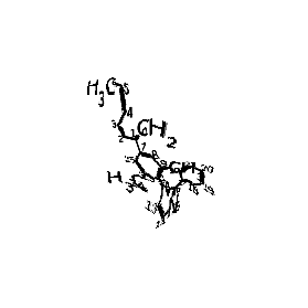 C=C(/C=C\C=C/C)c1cc(C)c(-n2ccnc2-c2ccccc2)c(C)c1